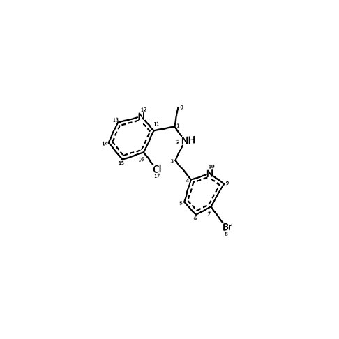 CC(NCc1ccc(Br)cn1)c1ncccc1Cl